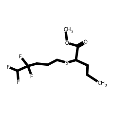 CCCC(SCCCC(F)(F)C(F)F)C(=O)OC